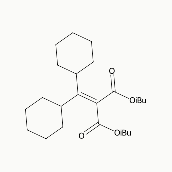 CC(C)COC(=O)C(C(=O)OCC(C)C)=C(C1CCCCC1)C1CCCCC1